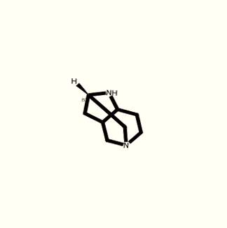 C1CN2CC3C[C@@H](C2)NC13